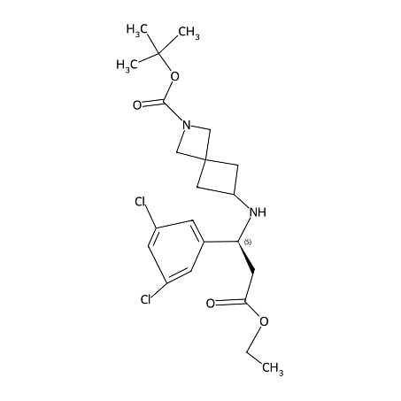 CCOC(=O)C[C@H](NC1CC2(C1)CN(C(=O)OC(C)(C)C)C2)c1cc(Cl)cc(Cl)c1